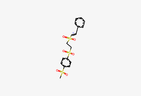 CS(=O)(=O)c1ccc(S(=O)(=O)CCS(=O)(=O)/C=C/c2ccccc2)cc1